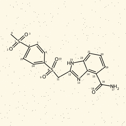 CS(=O)(=O)c1ccc(S(=O)(=O)Cc2nc3c(C(N)=O)cccc3[nH]2)cc1